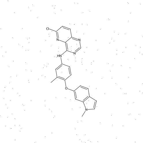 Cc1cc(Nc2ncnc3ccc(Cl)nc23)ccc1Oc1ccc2ccn(C)c2c1